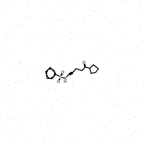 O=C(CCC#CNS(=O)(=O)c1ccccc1)C1CCCC1